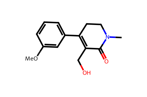 COc1cccc(C2=C(CO)C(=O)N(C)CC2)c1